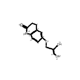 O=C1CCc2cc(OCC(O)CO)ccc2N1